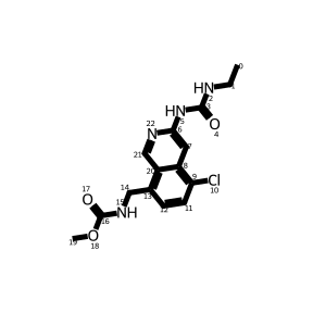 CCNC(=O)Nc1cc2c(Cl)ccc(CNC(=O)OC)c2cn1